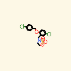 O=S1(=O)OCCN1Cc1cc(Cl)ccc1OCc1ccc(Cl)cc1